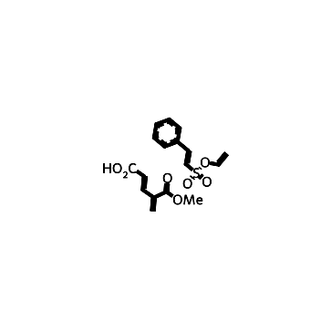 C=C(C=CC(=O)O)C(=O)OC.C=COS(=O)(=O)C=Cc1ccccc1